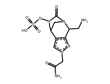 NCC1c2nn(CC(N)=O)cc2C2CN1C(=O)N2OS(=O)(=O)O